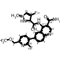 COCc1ccc(-c2ccc3ncc(C(N)=O)c(NC(C)C4NN(C)C=C4F)c3c2)c(F)n1